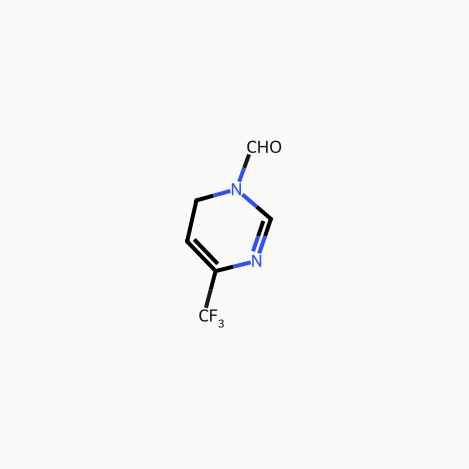 O=CN1C=NC(C(F)(F)F)=CC1